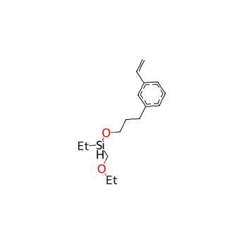 C=Cc1cccc(CCCO[SiH](CC)COCC)c1